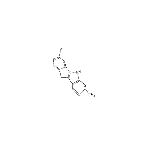 Cc1ccc2c3c([nH]c2c1)-c1cc(F)ccc1C3